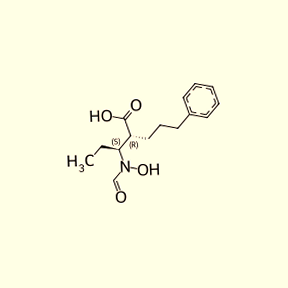 CC[C@@H]([C@@H](CCCc1ccccc1)C(=O)O)N(O)C=O